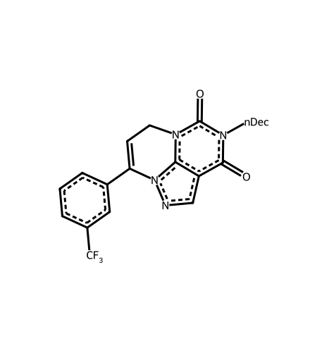 CCCCCCCCCCn1c(=O)c2cnn3c2n(c1=O)CC=C3c1cccc(C(F)(F)F)c1